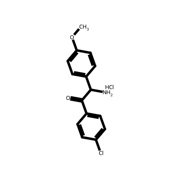 COc1ccc(C(N)C(=O)c2ccc(Cl)cc2)cc1.Cl